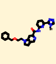 CC(C)n1cnnc1-c1cccc(NC(=O)c2cc3c(ccn3CCOCc3ccccc3)cn2)n1